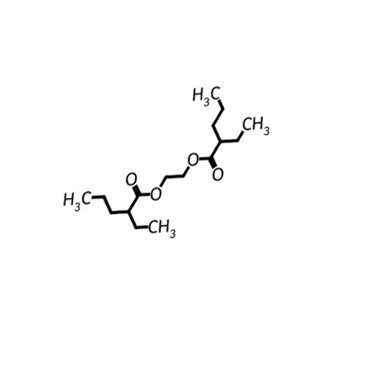 CCCC(CC)C(=O)OCCOC(=O)C(CC)CCC